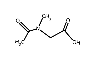 CC(=O)N(C)CC(=O)O